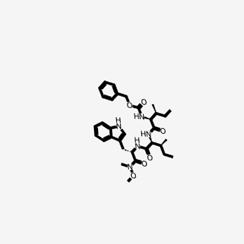 CC[C@H](C)[C@H](NC(=O)OCc1ccccc1)C(=O)N[C@H](C(=O)N[C@@H](Cc1c[nH]c2ccccc12)C(=O)N(C)OC)[C@@H](C)CC